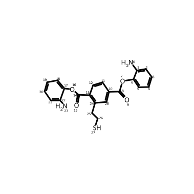 Nc1ccccc1OC(=O)c1ccc(C(=O)Oc2ccccc2N)c(CCS)c1